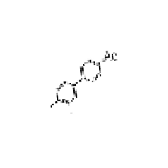 CC(=O)c1ccc(-c2ccc(C)c(C)c2)cc1